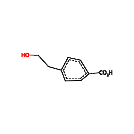 O=C(O)c1ccc(CCO)cc1